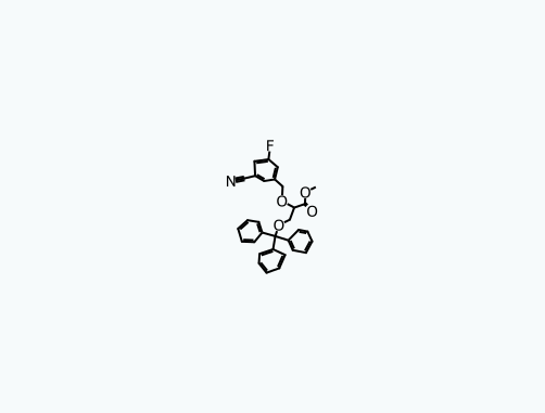 COC(=O)C(COC(c1ccccc1)(c1ccccc1)c1ccccc1)OCc1cc(F)cc(C#N)c1